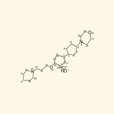 Cl.Cl.c1cc(C2CCC(N3CCOCC3)CC2)ccc1OCCCN1CCCCC1